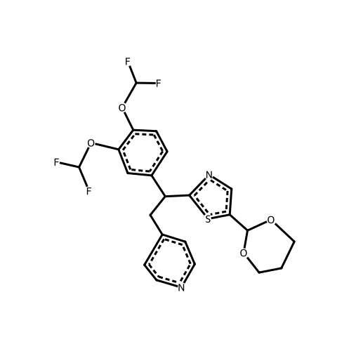 FC(F)Oc1ccc(C(Cc2ccncc2)c2ncc(C3OCCCO3)s2)cc1OC(F)F